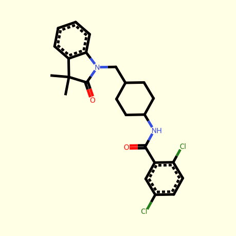 CC1(C)C(=O)N(CC2CCC(NC(=O)c3cc(Cl)ccc3Cl)CC2)c2ccccc21